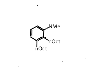 CCCCCCCCc1cccc(NC)c1CCCCCCCC